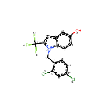 Oc1ccc2c([c]c(C(F)(F)F)n2Cc2ccc(Cl)cc2Cl)c1